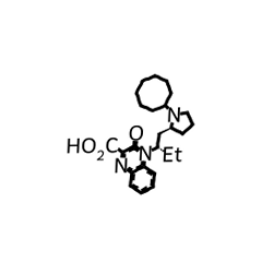 CC[C@@H](C[C@@H]1CCCN1C1CCCCCCC1)n1c(=O)c(C(=O)O)nc2ccccc21